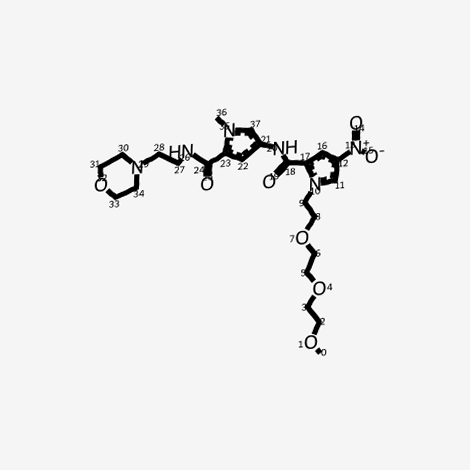 COCCOCCOCCn1cc([N+](=O)[O-])cc1C(=O)Nc1cc(C(=O)NCCN2CCOCC2)n(C)c1